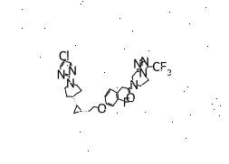 O=C(Cc1ccc(OCC[C@@H]2C[C@@H]2C2CCN(c3ncc(Cl)cn3)CC2)cc1F)N1CCn2c(nnc2C(F)(F)F)C1